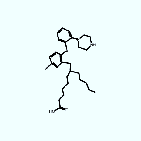 CCCCCC(CCCCCC(=O)O)Cc1cc(C)ccc1Sc1ccccc1N1CCNCC1